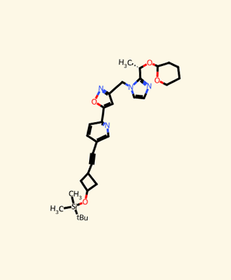 C[C@H](OC1CCCCO1)c1nccn1Cc1cc(-c2ccc(C#CC3CC(O[Si](C)(C)C(C)(C)C)C3)cn2)on1